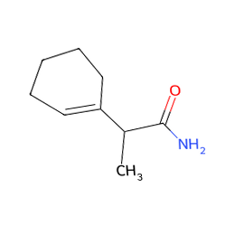 CC(C(N)=O)C1=CCCCC1